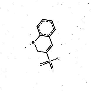 O=S(=O)(Cl)C1=Cc2ccccc2NC1